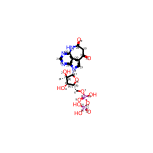 C[C@@]1(O)[C@H](O)[C@@H](COP(=O)(O)OP(=O)(O)O)O[C@H]1n1cc2c3c(ncnc31)NC(=O)CC2=O